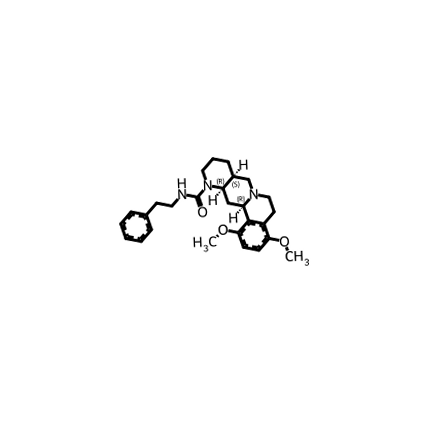 COc1ccc(OC)c2c1CCN1C[C@@H]3CCCN(C(=O)NCCc4ccccc4)[C@@H]3C[C@H]21